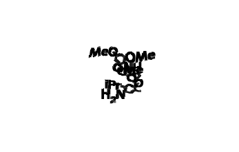 COc1cc(OC)c(NC(=O)c2ccc(Oc3cc(C(C)C)c(N)cc3C)o2)c(OC)c1